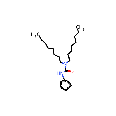 CCCCCCCCN(CCCCCCCC)C(=O)Nc1ccccc1